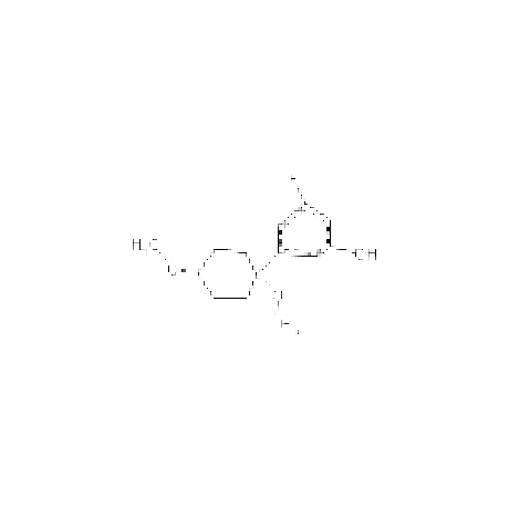 CO[C@H]1CC[C@@](OC)(c2cc(O)cc(F)c2)CC1